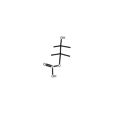 CC(C)(O)C(C)(C)OS(=O)O